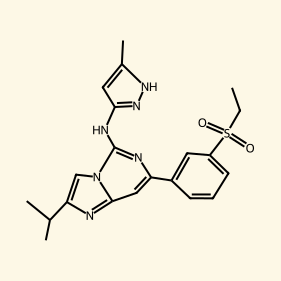 CCS(=O)(=O)c1cccc(-c2cc3nc(C(C)C)cn3c(Nc3cc(C)[nH]n3)n2)c1